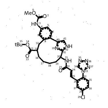 COC(=O)Nc1ccc2c(c1)CC(C(=O)OC(C)(C)C)CCCCC(NC(=O)/C=C/c1cc(Cl)ccc1-n1cnnn1)c1nc-2c[nH]1